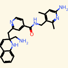 Cc1cc(N)nc(C)c1CNC(=O)c1ccnc(CC2(CN)C=Cc3ccccc3N2)c1